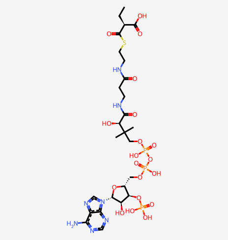 CC[C@@H](C(=O)O)C(=O)SCCNC(=O)CCNC(=O)[C@H](O)C(C)(C)COP(=O)(O)OP(=O)(O)OC[C@H]1O[C@@H](n2cnc3c(N)ncnc32)[C@H](O)[C@@H]1OP(=O)(O)O